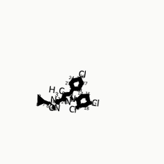 Cc1c(-c2noc(C3CC3)n2)nn(-c2ccc(Cl)cc2Cl)c1-c1ccc(Cl)cc1